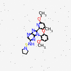 CCOc1cccc(-c2nc3ncc(NSN4CCCC4)nc3n2-c2c(OC)cccc2OC)n1